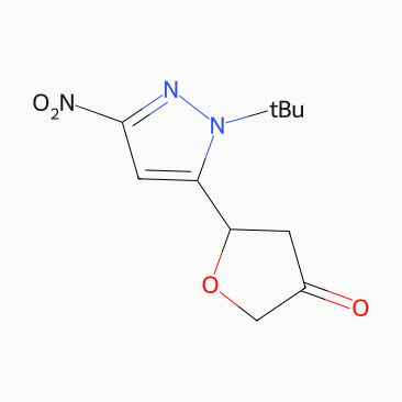 CC(C)(C)n1nc([N+](=O)[O-])cc1C1CC(=O)CO1